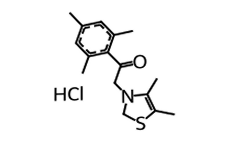 CC1=C(C)N(CC(=O)c2c(C)cc(C)cc2C)CS1.Cl